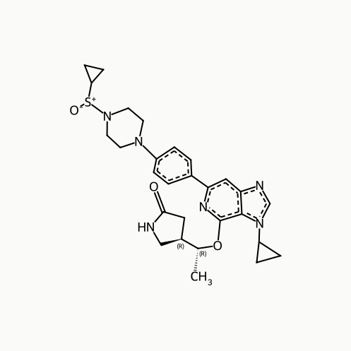 C[C@@H](Oc1nc(-c2ccc(N3CCN([S+]([O-])C4CC4)CC3)cc2)cc2ncn(C3CC3)c12)[C@H]1CNC(=O)C1